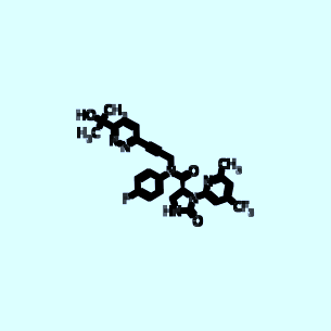 Cc1cc(C(F)(F)F)cc(N2C(=O)NC[C@H]2C(=O)N(CC#Cc2ccc(C(C)(C)O)nn2)c2ccc(F)cc2)n1